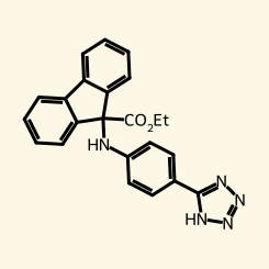 CCOC(=O)C1(Nc2ccc(-c3nnn[nH]3)cc2)c2ccccc2-c2ccccc21